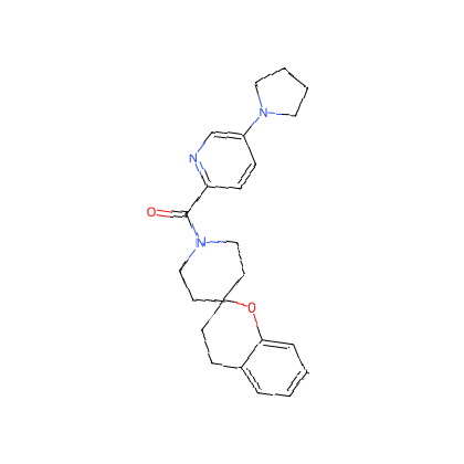 O=C(c1ccc(N2CCCC2)cn1)N1CCC2(CCc3ccccc3O2)CC1